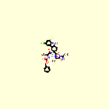 CCC(C)[C@H](NC(=O)OCc1ccccc1)C(=O)N[C@]1(C(=O)N[C@H](c2nc(C#N)no2)C(C)CC)CCc2[nH]c3c(Cl)cc(Cl)cc3c2C1